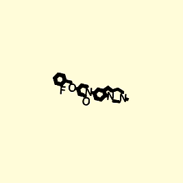 CN1CCc2cc3cc(-n4ccc(OCc5ccccc5F)cc4=O)ccc3n2CC1